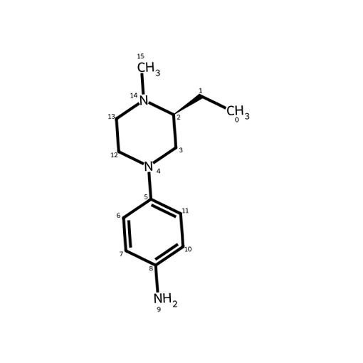 CC[C@H]1CN(c2ccc(N)cc2)CCN1C